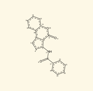 O=C(Nc1scc2c1c(=O)oc1ccccc12)c1ccccc1